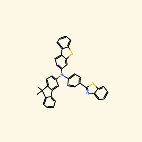 CC1(C)c2ccccc2-c2cc(N(c3ccc(-c4nc5ccccc5s4)cc3)c3ccc4c(c3)sc3ccccc34)ccc21